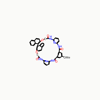 COc1cc2cc(c1)C(=O)Nc1cccc(n1)NC(=O)COc1ccc3ccccc3c1-c1c(ccc3ccccc13)OCC(=O)Nc1cccc(n1)NC2=O